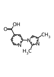 Cc1cn(-c2cc(C(=O)O)ccn2)c(C)n1